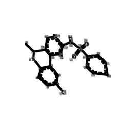 CC1Sc2ccc(Cl)cc2-c2nc(NS(=O)(=O)c3ccccc3)ncc21